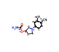 N#Cc1ccc(N2CCC(OC(N)=O)C2)cc1C(F)(F)F